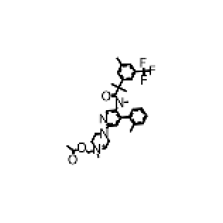 CC(=O)OC[N+]1(C)CCN(c2cc(-c3ccccc3C)c(N(C)C(=O)C(C)(C)c3cc(C)cc(C(F)(F)F)c3)cn2)CC1